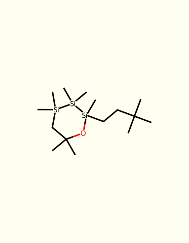 CC(C)(C)CC[Si]1(C)OC(C)(C)C[Si](C)(C)[Si]1(C)C